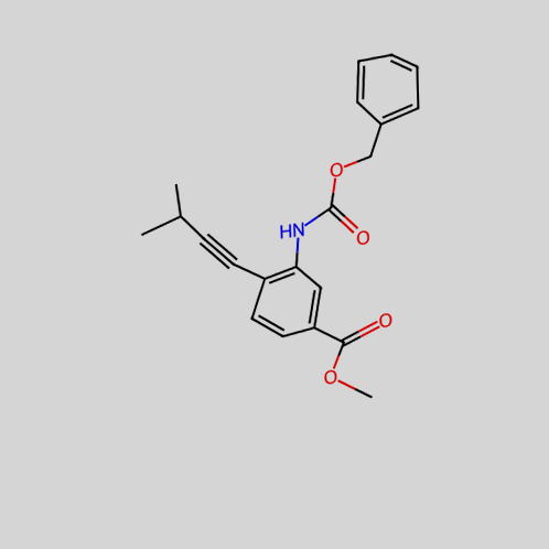 COC(=O)c1ccc(C#CC(C)C)c(NC(=O)OCc2ccccc2)c1